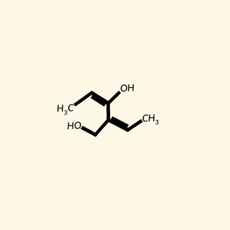 C/C=C(CO)\C(O)=C/C